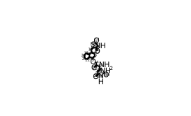 NC(C(=O)COc1ccc(C=C2SC(=O)NC2=O)c2ccccc12)c1cc(=O)[nH]c(=O)[nH]1